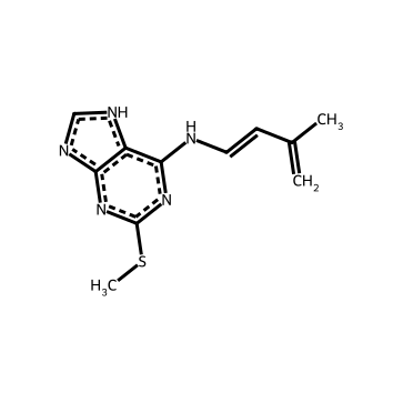 C=C(C)C=CNc1nc(SC)nc2nc[nH]c12